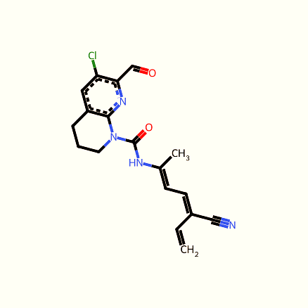 C=C/C(C#N)=C\C=C(/C)NC(=O)N1CCCc2cc(Cl)c(C=O)nc21